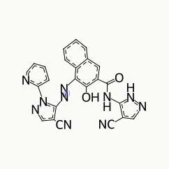 N#Cc1cn[nH]c1NC(=O)c1cc2ccccc2c(/N=N/c2c(C#N)cnn2-c2ccccn2)c1O